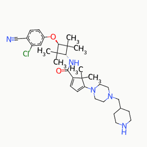 CC1(C)C(C(=O)N[C@H]2C(C)(C)[C@H](Oc3ccc(C#N)c(Cl)c3)C2(C)C)=CC=C1N1CCN(CC2CCNCC2)CC1